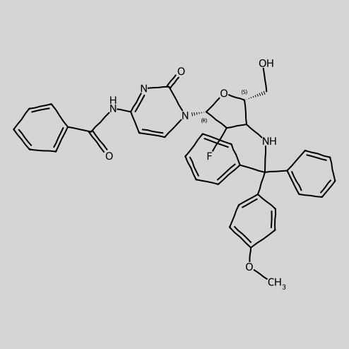 COc1ccc(C(NC2C(F)[C@H](n3ccc(NC(=O)c4ccccc4)nc3=O)O[C@@H]2CO)(c2ccccc2)c2ccccc2)cc1